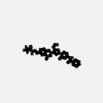 O=C(Nc1ccn([C@H]2C[C@@H](OCc3ccc(CCNC(=O)C(F)(F)F)cc3[N+](=O)[O-])[C@@H](CO)O2)c(=O)n1)c1ccccc1